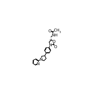 CC(=O)NC[C@H]1CN(c2ccc(C3CCN(c4ccccn4)C3)cc2)C(=O)O1